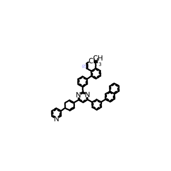 C#Cc1cccc(-c2cccc(-c3nc(C4=CCC(c5cccnc5)C=C4)cc(-c4cccc(-c5ccc6ccccc6c5)c4)n3)c2)c1/C=C\C